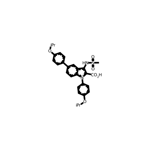 CC(C)Oc1ccc(-c2ccc3c(c2)c(NS(C)(=O)=O)c(C(=O)O)n3-c2ccc(OC(C)C)cc2)cc1